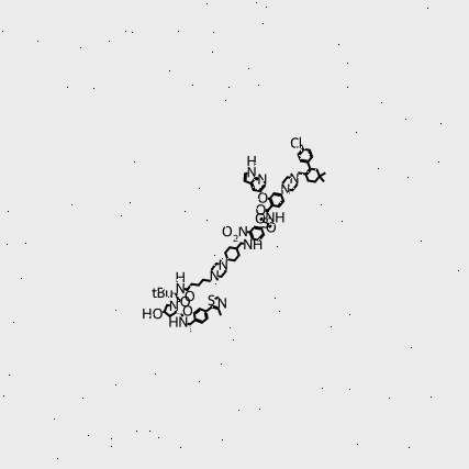 Cc1ncsc1-c1ccc([C@H](C)NC(=O)[C@@H]2C[C@@H](O)CN2C(=O)[C@@H](NC(=O)CCCCN2CCN(C3CCC(CNc4ccc(S(=O)(=O)NC(=O)c5ccc(N6CCN(CC7=C(c8ccc(Cl)cc8)CC(C)(C)CC7)CC6)cc5Oc5cnc6[nH]ccc6c5)cc4[N+](=O)[O-])CC3)CC2)C(C)(C)C)cc1